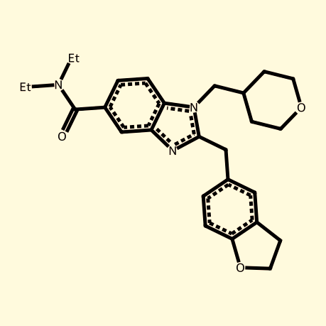 CCN(CC)C(=O)c1ccc2c(c1)nc(Cc1ccc3c(c1)CCO3)n2CC1CCOCC1